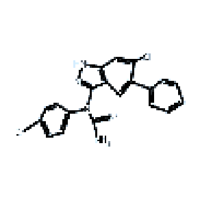 NC(=O)N(c1ccc(Cl)cc1)c1n[nH]c2cc(Cl)c(-c3ccccc3)cc12